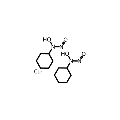 O=NN(O)C1CCCCC1.O=NN(O)C1CCCCC1.[Cu]